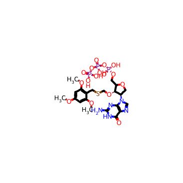 COc1cc(OC)c(CSCO[C@@H]2C(COP(=O)(O)OP(=O)(O)OP(=O)(O)O)OC[C@H]2n2cnc3c(=O)[nH]c(N)nc32)c(OC)c1